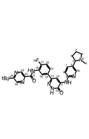 CN1CCCC1c1ccc(Nc2cc(-c3ccc(F)c(NC(=O)c4cnc(C(C)(C)C)cn4)c3)n[nH]c2=O)nc1